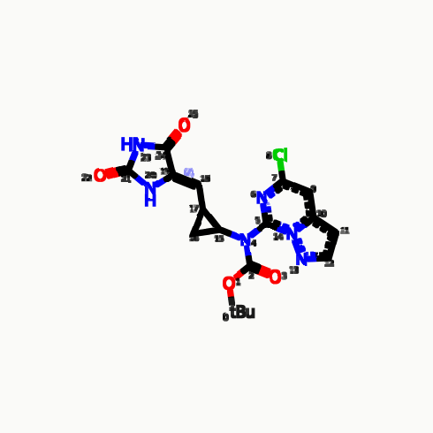 CC(C)(C)OC(=O)N(c1nc(Cl)cc2ccnn12)C1CC1/C=C1\NC(=O)NC1=O